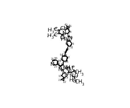 COC(=O)N[C@H](C(=O)N1CC2(CC2)C[C@H]1c1nc(-c2cccnc2)c(-c2ccc(C#Cc3ccc4nc([C@@H]5CC6(CC6)CN5C(=O)[C@@H](C)C(C)C)[nH]c4c3)cc2)[nH]1)C(C)C